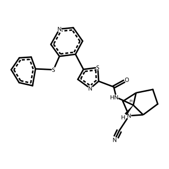 N#CN1CC2CCC1[C@@H]2NC(=O)c1ncc(-c2ccncc2Sc2ccccc2)s1